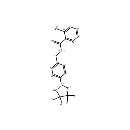 CC1(C)OB(c2ccc(CNC(=O)c3ccccc3Cl)cc2)OC1(C)C